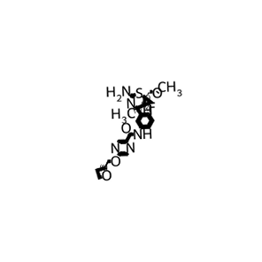 COC[C@]12C[C@H]1[C@@](C)(c1cc(NC(=O)c3cnc(OC[C@@H]4CCO4)cn3)ccc1F)N=C(N)S2